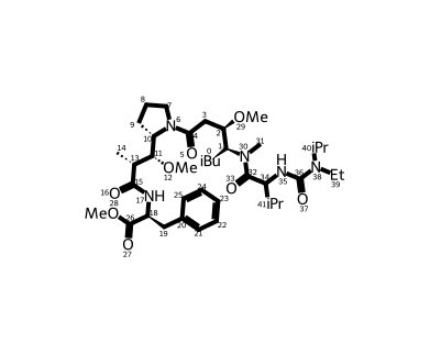 CC[C@H](C)[C@@H]([C@@H](CC(=O)N1CCC[C@H]1[C@H](OC)[C@@H](C)C(=O)N[C@@H](Cc1ccccc1)C(=O)OC)OC)N(C)C(=O)C(NC(=O)N(CC)C(C)C)C(C)C